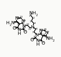 NCCCCN(CCn1c(=O)[nH]c(=O)c2c(N)ncnc21)CCn1c(=O)[nH]c(=O)c2c(N)ncnc21